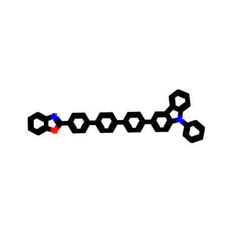 c1ccc(-n2c3ccccc3c3cc(-c4ccc(-c5ccc(-c6ccc(-c7nc8ccccc8o7)cc6)cc5)cc4)ccc32)cc1